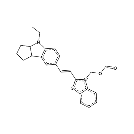 CCN1c2ccc(/C=C/c3sc4ccccc4[n+]3COC=O)cc2C2CCCC21